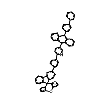 c1ccc(-c2ccc(-c3c4ccccc4c(-c4ccc(-c5ccc(-c6ccc7c(c6)-c6ccccc6C76c7ccccc7Oc7ccccc76)cc5)nc4)c4ccccc34)cc2)cc1